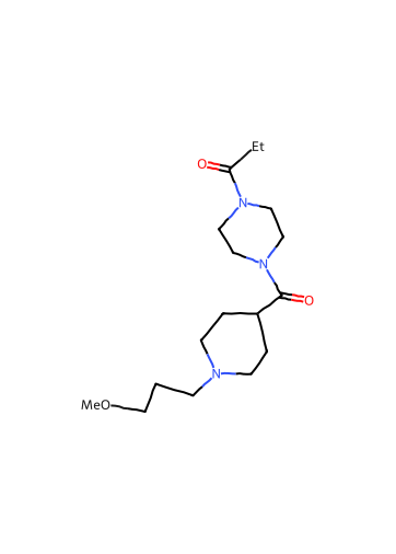 CCC(=O)N1CCN(C(=O)C2CCN(CCCOC)CC2)CC1